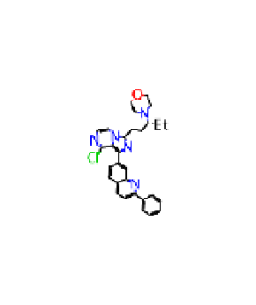 CC[C@H](CCc1nc(-c2ccc3ccc(-c4ccccc4)nc3c2)c2c(Cl)nccn12)N1CCOCC1